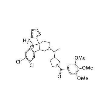 COc1cc(C(=O)N2CCC(C(C)N3CCC(C(N)=O)(c4cccs4)C(c4ccc(Cl)c(Cl)c4)C3)C2)cc(OC)c1OC